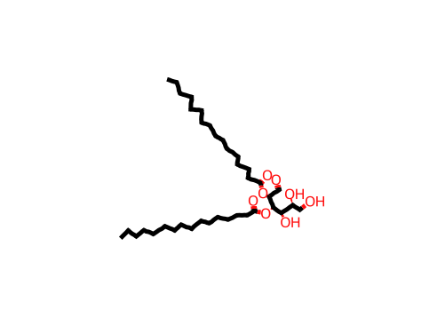 CCCCCCCCCCCCCCCC(=O)O[C@@H]([C@H](O)[C@H](O)CO)[C@H](C=O)OC(=O)CCCCCCCCCCCCCCC